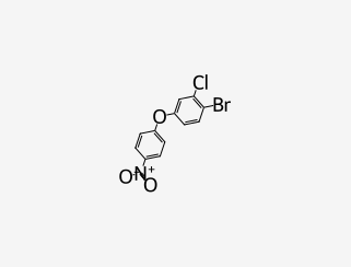 O=[N+]([O-])c1ccc(Oc2ccc(Br)c(Cl)c2)cc1